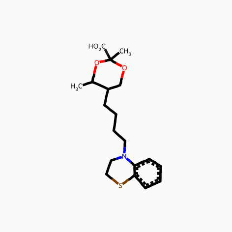 CC1OC(C)(C(=O)O)OCC1CCCCN1CCSc2ccccc21